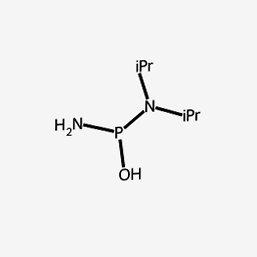 CC(C)N(C(C)C)P(N)O